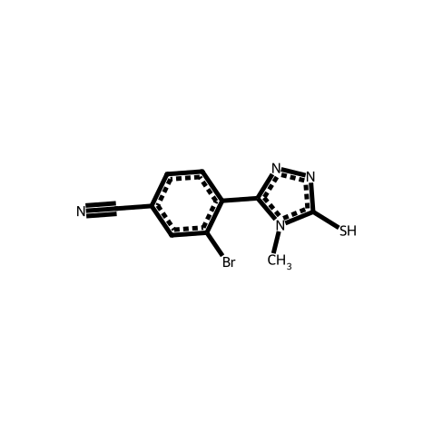 Cn1c(S)nnc1-c1ccc(C#N)cc1Br